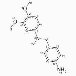 COc1ccc(N(C)Cc2ccc(N)cc2)cc1OC